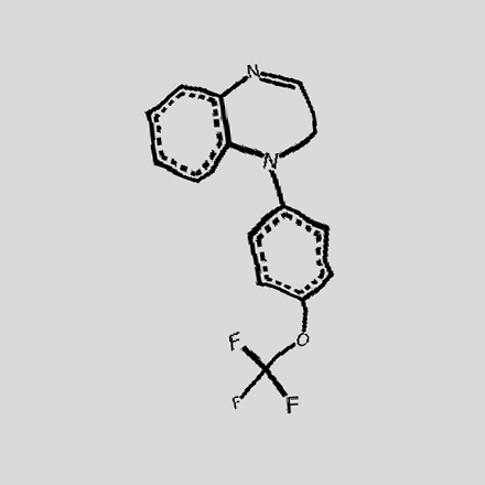 FC(F)(F)Oc1ccc(N2CC=Nc3ccccc32)cc1